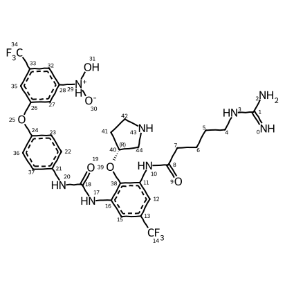 N=C(N)NCCCCC(=O)Nc1cc(C(F)(F)F)cc(NC(=O)Nc2ccc(Oc3cc([NH+]([O-])O)cc(C(F)(F)F)c3)cc2)c1O[C@@H]1CCNC1